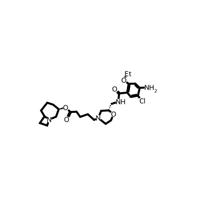 CCOc1cc(N)c(Cl)cc1C(=O)NC[C@H]1CN(CCCCC(=O)O[C@@H]2CCCC3CCN3C2)CCO1